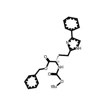 CC(C)(C)OC(=O)N[C@@H](CCc1nc(-c2ccccc2)c[nH]1)C(=O)OCc1ccccc1